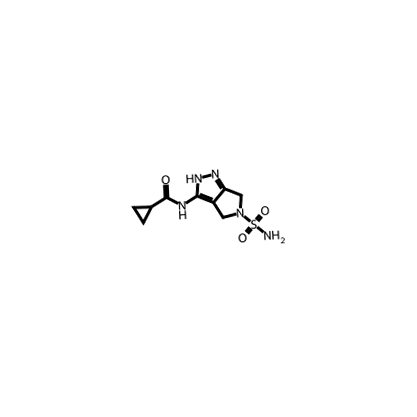 NS(=O)(=O)N1Cc2n[nH]c(NC(=O)C3CC3)c2C1